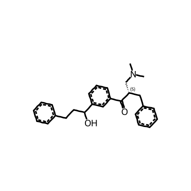 CN(C)C[C@H](Cc1ccccc1)C(=O)c1cccc(C(O)CCc2ccccc2)c1